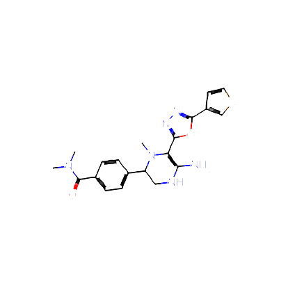 CN(C)C(=O)c1ccc(C2CNC(N)=C(c3nnc(-c4ccsc4)o3)N2C)cc1